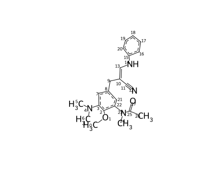 COc1c(N(C)C)cc(CC(C#N)=CNc2ccccc2)cc1N(C)C(C)=O